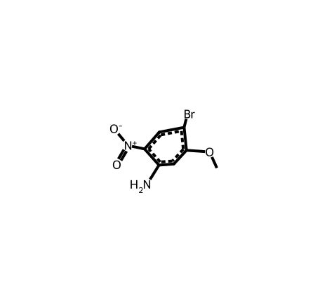 COc1cc(N)c([N+](=O)[O-])cc1Br